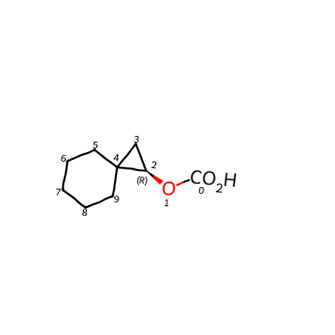 O=C(O)O[C@@H]1CC12CCCCC2